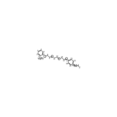 CCCc1ccccc1OCCOCCOCCOc1ccc(N)cc1